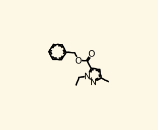 CCn1nc(C)cc1C(=O)OCc1ccccc1